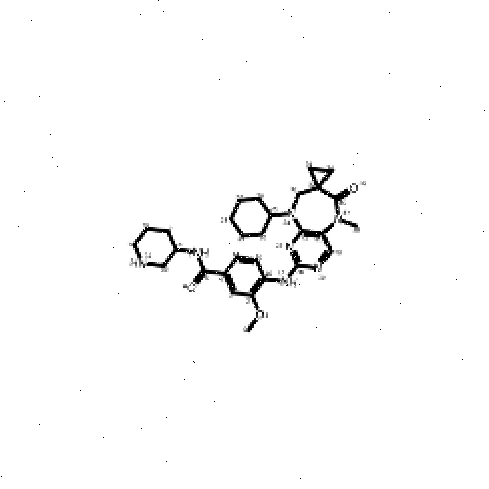 COc1cc(C(=O)NC2CCCNC2)ccc1Nc1ncc2c(n1)N(C1CCCCC1)CC1(CC1)C(=O)N2C